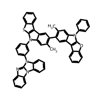 Cc1cc2c(cc1-c1cc3c4c5ccccc5sc4n(-c4cccc(-n5c6ccccc6n6c7ccccc7nc56)c4)c3cc1C)c1c3ccccc3oc1n2-c1ccccc1